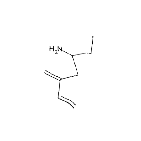 C=CC(=C)CC(N)CC